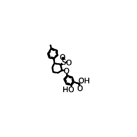 Cc1ccc(C2CCCC(Oc3ccc(O)c(C(=O)O)c3)C2=S(=O)=O)cc1